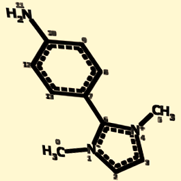 Cn1cc[n+](C)c1-c1ccc(N)cc1